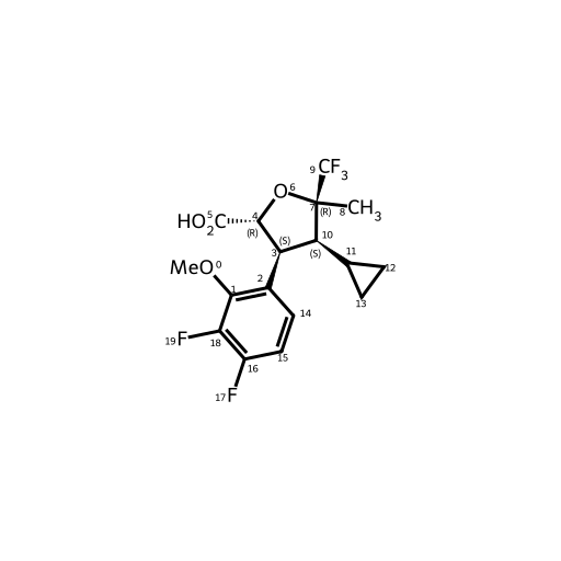 COc1c([C@H]2[C@H](C(=O)O)O[C@@](C)(C(F)(F)F)[C@H]2C2CC2)ccc(F)c1F